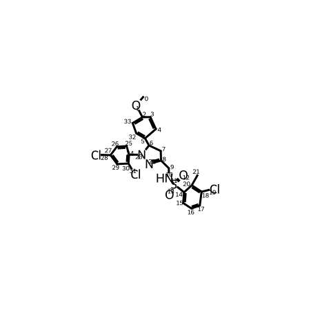 COc1ccc(C2CC(CNS(=O)(=O)c3cccc(Cl)c3C)=NN2c2ccc(Cl)cc2Cl)cc1